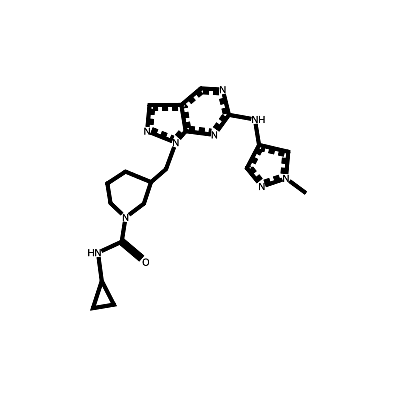 Cn1cc(Nc2ncc3cnn(CC4CCCN(C(=O)NC5CC5)C4)c3n2)cn1